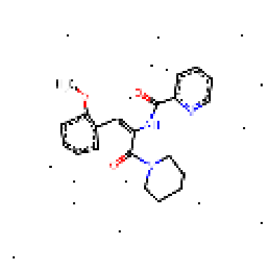 COc1ccccc1/C=C(/NC(=O)c1ccccn1)C(=O)N1CCCCC1